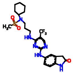 CS(=O)(=O)N(CCCNc1nc(Nc2ccc3c(c2)CC(=O)N3)ncc1C(F)(F)F)C1CCCCC1